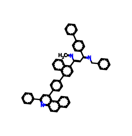 C=N/C(=C\C(=N/Cc1ccccc1)c1ccc(-c2ccccc2)cc1)c1ccc(-c2ccc(-c3cc(-c4ccccc4)nc4ccc5ccccc5c34)cc2)c2ccccc12